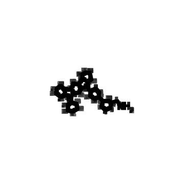 NCc1cccc(-c2ccc(-n3c4ccccc4c4cc5c6ccccc6n(-c6ccccc6)c5cc43)cc2)c1